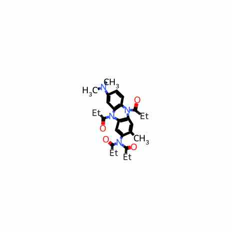 CCC(=O)N(C(=O)CC)c1cc2c(cc1C)N(C(=O)CC)c1ccc(N(C)C)cc1N2C(=O)CC